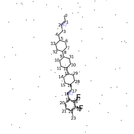 C/C=C/CCC1CCC(C2CCC(C3CCC(/C=C/c4ccc(C)c(F)c4F)CC3)CC2)CC1